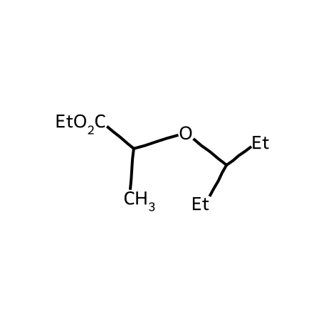 CCOC(=O)C(C)OC(CC)CC